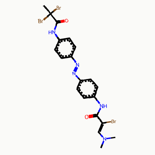 CN(C)C=C(Br)C(=O)Nc1ccc(N=Nc2ccc(NC(=O)C(C)(Br)Br)cc2)cc1